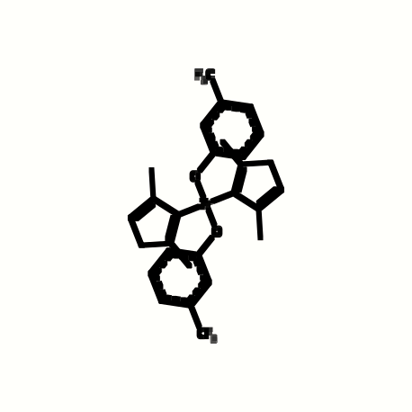 CC1=CCC(C)=[C]1[Zr]([O]c1cccc(C(F)(F)F)c1)([O]c1cccc(C(F)(F)F)c1)[C]1=C(C)CC=C1C